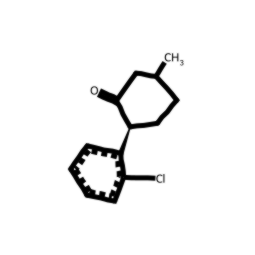 CC1CC[C@@H](c2ccccc2Cl)C(=O)C1